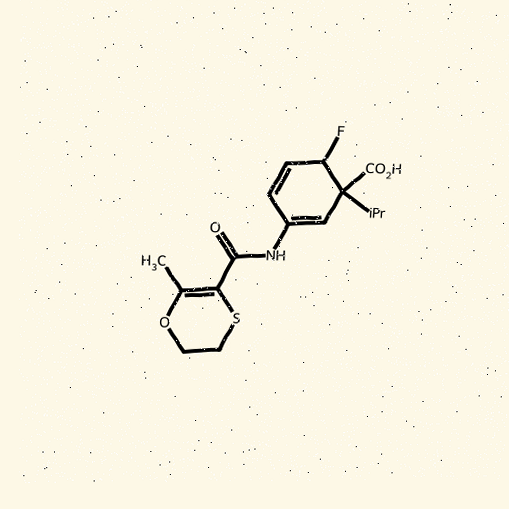 CC1=C(C(=O)NC2=CC(C(=O)O)(C(C)C)C(F)C=C2)SCCO1